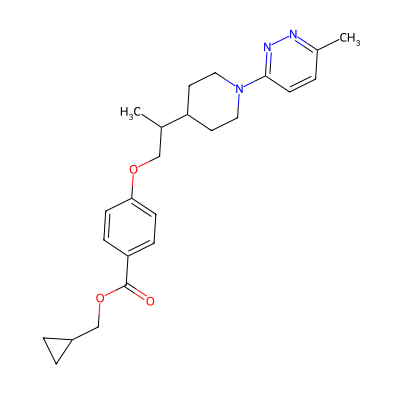 Cc1ccc(N2CCC(C(C)COc3ccc(C(=O)OCC4CC4)cc3)CC2)nn1